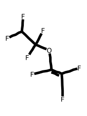 FC(F)=C(F)OC(F)(F)C(F)F